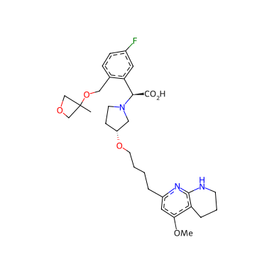 COc1cc(CCCCO[C@@H]2CCN([C@H](C(=O)O)c3cc(F)ccc3COC3(C)COC3)C2)nc2c1CCCN2